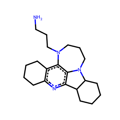 NCCCN1CCCN2c3c(nc4c(c31)CCCC4)C1CCCCC12